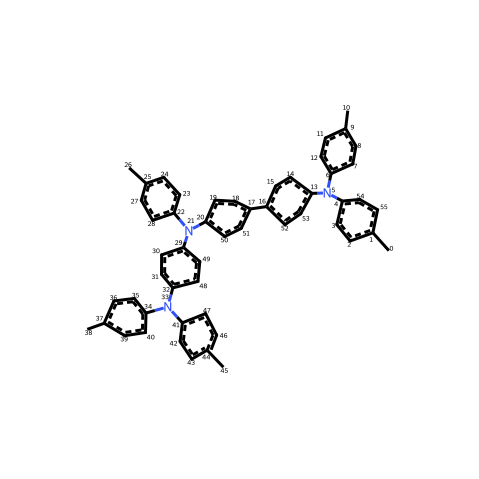 Cc1ccc(N(c2ccc(C)cc2)c2ccc(-c3ccc(N(c4ccc(C)cc4)c4ccc(N(c5ccc(C)cc5)c5ccc(C)cc5)cc4)cc3)cc2)cc1